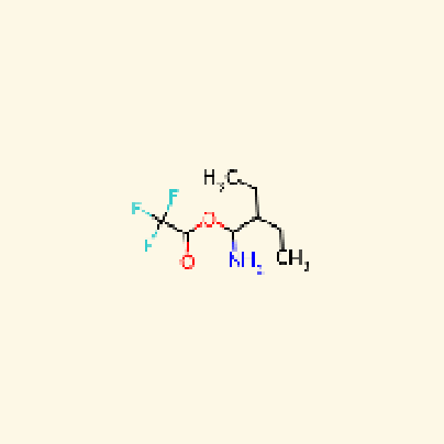 CCC(CC)C(N)OC(=O)C(F)(F)F